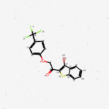 O=C(COc1ccc(C(F)(F)F)cc1)c1sc2ccccc2c1Br